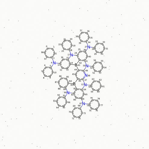 c1ccc(N(c2ccccc2)c2ccc3c(c2)N(c2ccccc2)c2cc(N(c4ccccc4)c4ccccc4)cc4c2B3c2cc3c(nc2N4c2ccccc2)N(c2ccccc2)c2cc(N(c4ccccc4)c4ccccc4)cc4c2B3c2ccccc2N4c2ccccc2)cc1